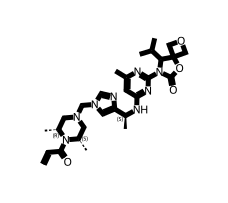 C=CC(=O)N1[C@H](C)CN(Cn2cnc([C@H](C)Nc3cc(C)nc(N4C(=O)OC5(COC5)C4C(C)C)n3)c2)C[C@@H]1C